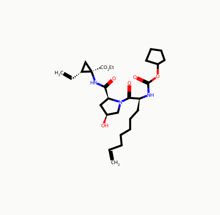 C=CCCCCC[C@H](NC(=O)OC1CCCC1)C(=O)N1C[C@@H](O)C[C@H]1C(=O)N[C@]1(C(=O)OCC)C[C@H]1C=C